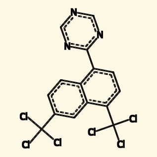 ClC(Cl)(Cl)c1ccc2c(-c3ncncn3)ccc(C(Cl)(Cl)Cl)c2c1